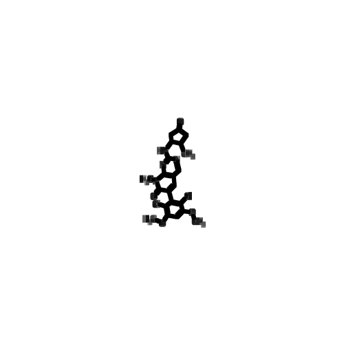 COc1cc(OC)c(Cl)c(-c2cc3cnc(NC4CC(=O)CC4C)nc3n(C)c2=O)c1Cl